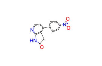 O=C1Cc2c(-c3ccc([N+](=O)[O-])cc3)ccnc2N1